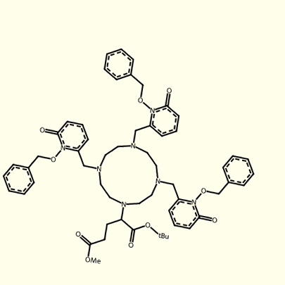 COC(=O)CCC(C(=O)OC(C)(C)C)N1CCN(Cc2cccc(=O)n2OCc2ccccc2)CCN(Cc2cccc(=O)n2OCc2ccccc2)CCN(Cc2cccc(=O)n2OCc2ccccc2)CC1